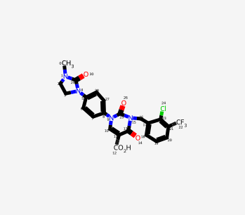 CN1CCN(c2ccc(-n3cc(C(=O)O)c(=O)n(Cc4cccc(C(F)(F)F)c4Cl)c3=O)cc2)C1=O